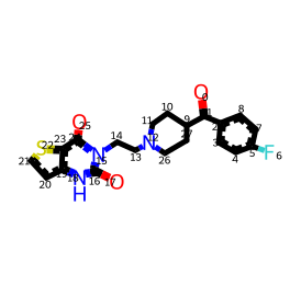 O=C(c1ccc(F)cc1)C1CCN(CCn2c(=O)[nH]c3ccsc3c2=O)CC1